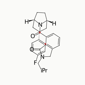 CC(C)CN1Cc2cccc(C(=O)N3[C@@H]4CC[C@H]3C[C@@H](c3ccc(F)cc3)C4)c2C1=O